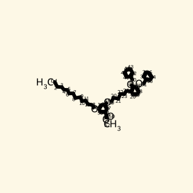 CCCCCCCCCCCCCCOc1cc(OCCCCCCc2cccc(OCc3ccccc3)c2OCc2ccccc2)cc(C(=O)OC)c1